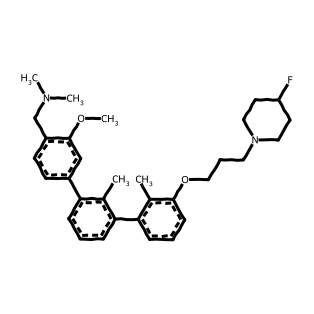 COc1cc(-c2cccc(-c3cccc(OCCCN4CCC(F)CC4)c3C)c2C)ccc1CN(C)C